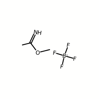 COC(C)=N.F[B-](F)(F)F